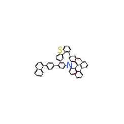 c1ccc(-c2cccc3cccc(-c4ccccc4N(c4ccc(-c5ccc(-c6cccc7ccccc67)cc5)cc4)c4cccc(-c5cccc6sc7ccccc7c56)c4)c23)cc1